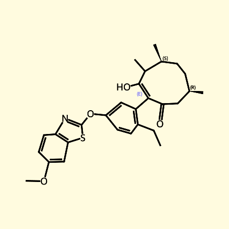 CCc1ccc(Oc2nc3ccc(OC)cc3s2)cc1/C1=C(\O)C(C)[C@@H](C)CC[C@@H](C)CC1=O